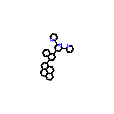 c1ccc(-c2cc(-c3ccc(-c4ccc5ccc6cccc7ccc4c5c67)c4ccccc34)cc(-c3ccccn3)n2)nc1